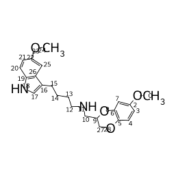 COc1ccc2c(c1)OC(CNCCCCc1c[nH]c3ccc(OC)cc13)CO2